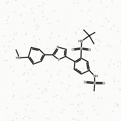 CNc1ccc(-c2ncc(-c3ccc(NS(C)(=O)=O)cc3S(=O)(=O)NC(C)(C)C)s2)cc1